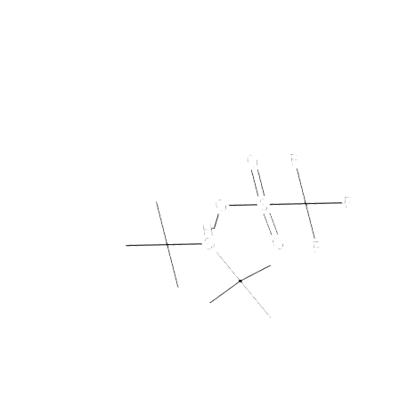 CC(C)(C)[SiH](OS(=O)(=O)C(F)(F)F)C(C)(C)C